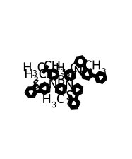 Cc1cc2c3c(c1)N(c1cccc4c1sc1ccccc14)c1cc(N4c5ccc(-c6ccccc6)cc5C5(C)CCCCC45C)ccc1B3c1ccc(C(C)(C)C)cc1N2c1ccc2c(c1)sc1ccccc12